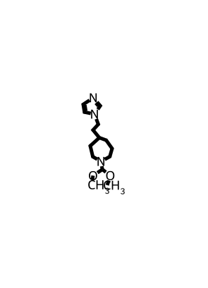 COC(OC)N1CCCC(CCn2ccnc2)CC1